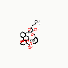 C=CC[C@@H]1O[C@H](c2cccc(C(=O)O)c2C[C@H](C)c2ccccc2C(=O)O)[C@H](OCc2ccccc2)[C@H]1O